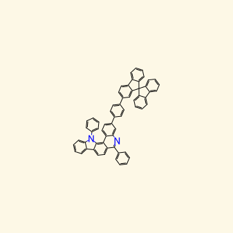 c1ccc(-c2nc3cc(-c4ccc(-c5ccc6c(c5)C5(c7ccccc7-c7ccccc75)c5ccccc5-6)cc4)ccc3c3c2ccc2c4ccccc4n(-c4ccccc4)c23)cc1